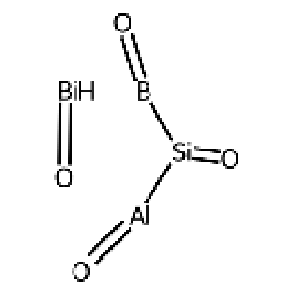 O=B[Si](=O)[Al]=[O].[O]=[BiH]